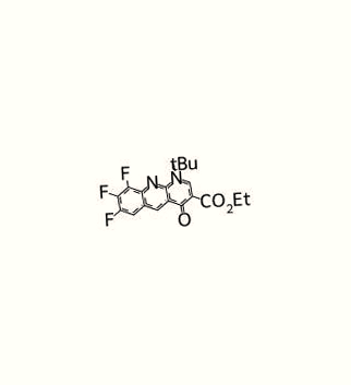 CCOC(=O)c1cn(C(C)(C)C)c2nc3c(F)c(F)c(F)cc3cc2c1=O